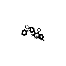 Cc1ccc(C(=O)c2c([N+](=O)[O-])sc3c2ccc(=O)n3-c2ccccc2)cc1